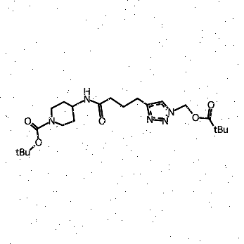 CC(C)(C)OC(=O)N1CCC(NC(=O)CCCc2cn(COC(=O)C(C)(C)C)nn2)CC1